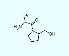 CC(C)C(N)C(=O)N1CCCC1CO